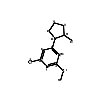 CSc1nc(Cl)cc(N2CCCC2C)n1